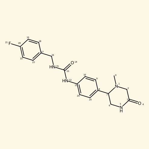 CN1CC(=O)NCC1c1ccc(NC(=O)NCc2ccc(F)cc2)cc1